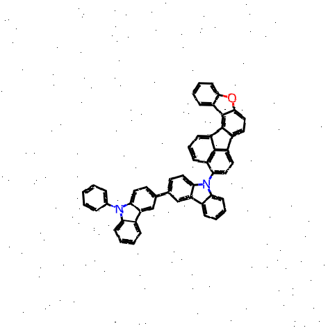 c1ccc(-n2c3ccccc3c3cc(-c4ccc5c(c4)c4ccccc4n5-c4ccc5c6c(cccc46)-c4c-5ccc5oc6ccccc6c45)ccc32)cc1